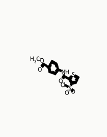 COC(=O)c1ccc(NC(=O)c2sccc2S(=O)(=O)Cl)cc1